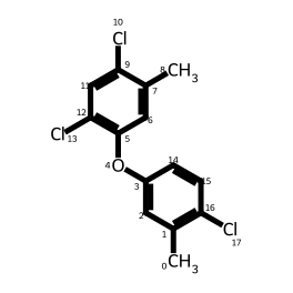 Cc1cc(Oc2cc(C)c(Cl)cc2Cl)ccc1Cl